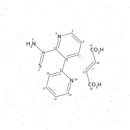 NC(=S)c1ncccc1-c1ccccn1.O=C(O)/C=C/C(=O)O